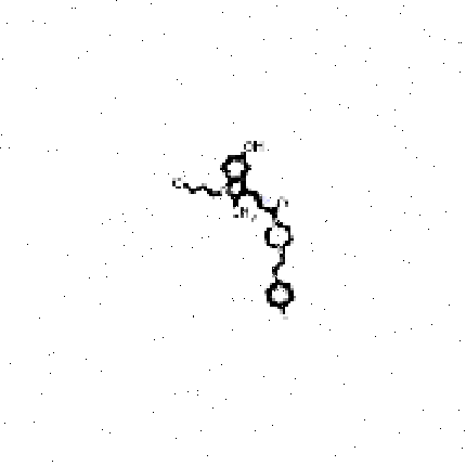 Cc1c(/C=C/C(=O)N2CCN(CCc3ccc(F)cc3)CC2)c2cc(O)ccc2n1CCCCl